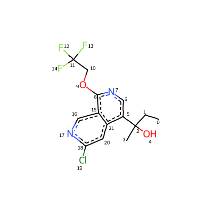 CCC(C)(O)c1cnc(OCC(F)(F)F)c2cnc(Cl)cc12